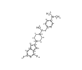 CN(C)c1ccc(CC(O)N2CCN(c3nc4c(F)cc(F)cc4s3)CC2)cc1